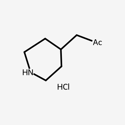 CC(=O)CC1CCNCC1.Cl